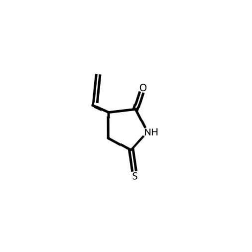 C=CC1CC(=S)NC1=O